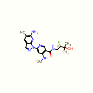 CC(C)(C)Nc1cc(-n2ncc3cc(C#N)c(N)nc32)ncc1C(=O)NC[C@@H](F)C(C)(C)O